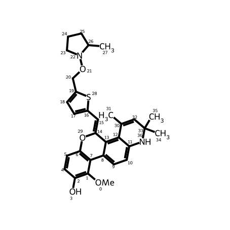 COc1c(O)ccc2c1-c1ccc3c(c1/C(=C/c1ccc(CON4CCCC4C)s1)O2)C(C)=CC(C)(C)N3